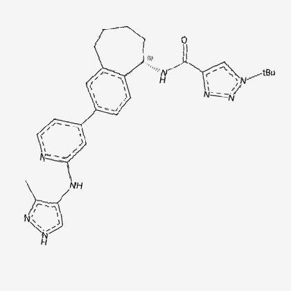 Cc1n[nH]cc1Nc1cc(-c2ccc3c(c2)CCCC[C@@H]3NC(=O)c2cn(C(C)(C)C)nn2)ccn1